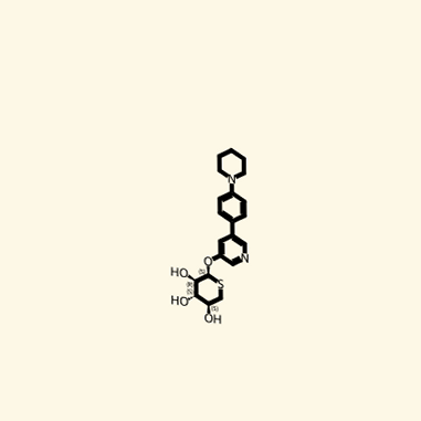 O[C@@H]1[C@@H](O)[C@@H](Oc2cncc(-c3ccc(N4CCCCC4)cc3)c2)SC[C@H]1O